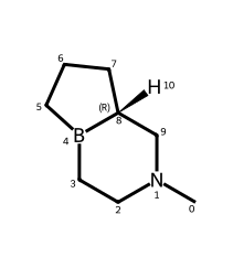 CN1CCB2CCC[C@@H]2C1